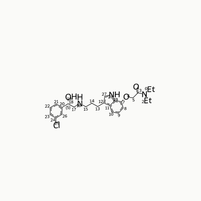 CCN(CC)C(=O)COc1cccc2c(CCCNC[C@@H](O)c3cccc(Cl)c3)c[nH]c12